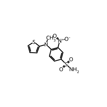 CN(c1cccs1)c1ccc(S(N)(=O)=O)cc1[N+](=O)[O-]